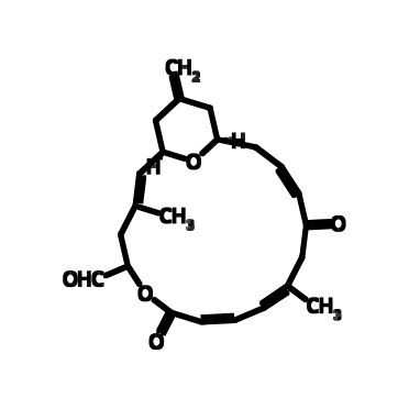 C=C1C[C@H]2C/C=C\C(=O)C/C(C)=C\C=C/C(=O)OC(C=O)C/C(C)=C/[C@@H](C1)O2